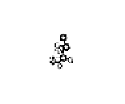 O=C(c1cc(Cl)cc(Nc2cccc(-c3ccccc3)c2Cl)c1)c1ccsn1